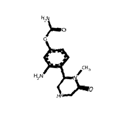 CN1C(=O)CNCC1c1ccc(OC(N)=O)cc1N